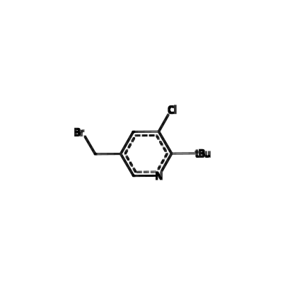 CC(C)(C)c1ncc(CBr)cc1Cl